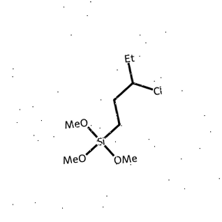 CCC(Cl)CC[Si](OC)(OC)OC